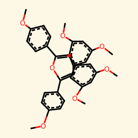 COc1ccc(C(=Cc2cc(OC)cc(OC)c2)OC(=Cc2cc(OC)cc(OC)c2)c2ccc(OC)cc2)cc1